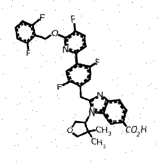 CC1(C)COCC1n1c(Cc2cc(F)c(-c3ccc(F)c(OCc4c(F)cccc4F)n3)cc2F)nc2ccc(C(=O)O)cc21